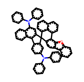 c1ccc(N(c2ccccc2)c2ccc3c(c2)C2(c4cc(N(c5ccccc5)c5ccccc5)c5ccccc5c4-3)c3ccc4c(oc5ccccc54)c3-c3cccc4cccc2c34)cc1